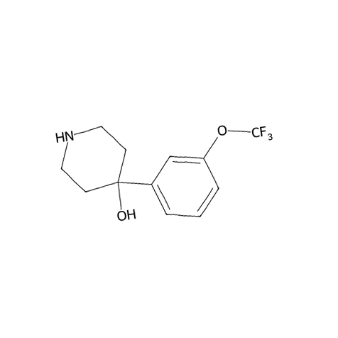 OC1(c2cccc(OC(F)(F)F)c2)CCNCC1